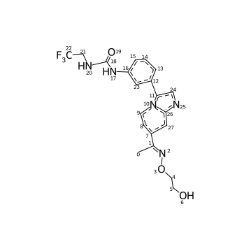 CC(=NOCCO)c1ccn2c(-c3cccc(NC(=O)NCC(F)(F)F)c3)cnc2c1